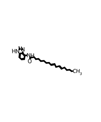 CCCCCC=CCC=CCCCCCCCC(=O)Nc1cccc2[nH]nnc12